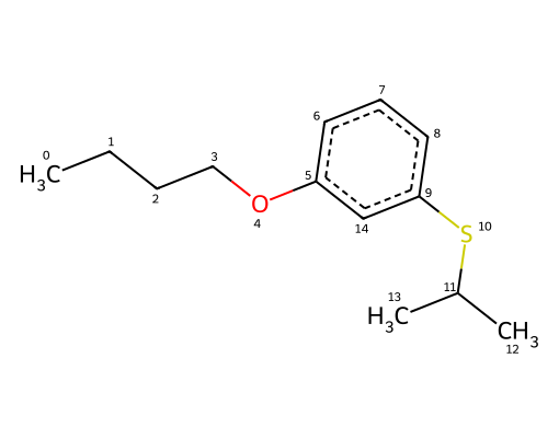 CCCCOc1cccc(SC(C)C)c1